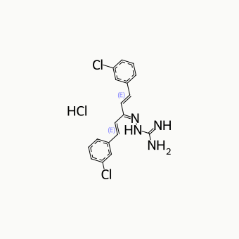 Cl.N=C(N)NN=C(/C=C/c1cccc(Cl)c1)/C=C/c1cccc(Cl)c1